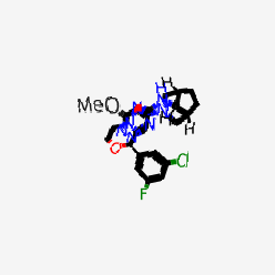 COc1cc(N2C[C@H]3CC[C@@H](C2)[C@@H]3Nc2nc3n(n2)CCO[C@@H]3c2cc(F)cc(Cl)c2)cnn1